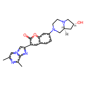 Cc1cn2cc(-c3cc4ccc(N5CCN6C[C@H](O)C[C@H]6C5)cc4oc3=O)nc2c(C)n1